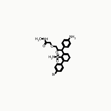 CNC(=O)COCC(=O)C(C1=C[CH]CC(c2ccc(Br)cc2)=C1S(N)(=O)=O)c1ccc(N)cc1